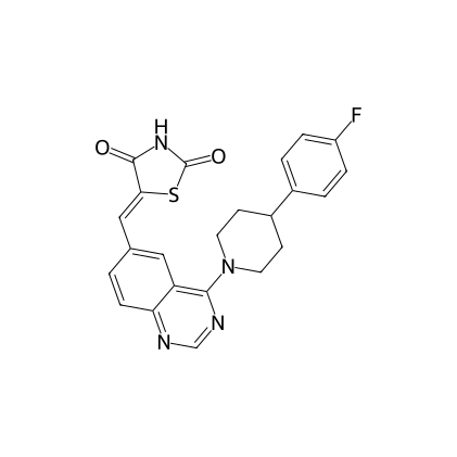 O=C1NC(=O)C(=Cc2ccc3ncnc(N4CCC(c5ccc(F)cc5)CC4)c3c2)S1